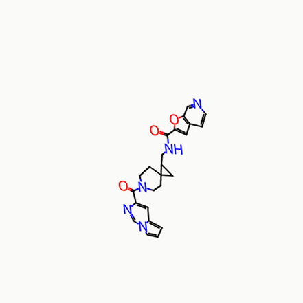 O=C(NCC1CC12CCN(C(=O)c1cc3cccn3cn1)CC2)c1cc2ccncc2o1